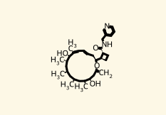 C=C1C[C@H](O)[C@@H](C)C[C@@H](C)C[C@@H](C)C[C@H](C)[C@@H](O)/C(C)=C\C=C\C[C@@H]([C@@H]2CC[C@H]2C(=O)NCc2cccnc2)O1